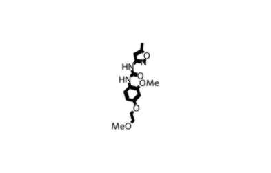 COCCOc1ccc(NC(=O)Nc2cc(C)on2)c(OC)c1